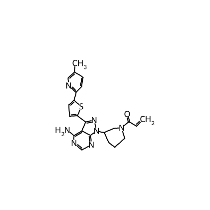 C=CC(=O)N1CCCC(n2nc(-c3ccc(-c4ccc(C)cn4)s3)c3c(N)ncnc32)C1